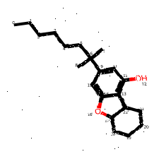 CCCCCCC(C)(C)c1cc(O)c2c(c1)OC1CCCCC21